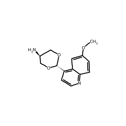 COc1ccc2nccc([C@H]3OC[C@H](N)CO3)c2c1